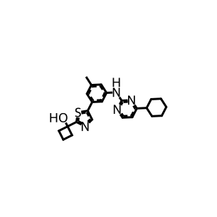 Cc1cc(Nc2nccc(C3CCCCC3)n2)cc(-c2cnc(C3(O)CCC3)s2)c1